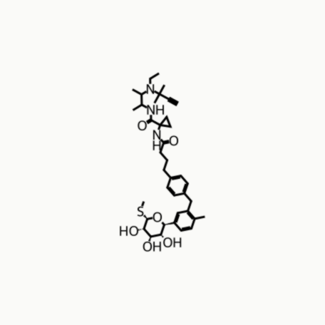 C#CC(C)(C)N(CC)C(C)C(C)NC(=O)C1(NC(=O)CCCc2ccc(Cc3cc([C@@H]4O[C@H](SC)[C@@H](O)[C@H](O)[C@H]4O)ccc3C)cc2)CC1